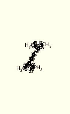 C=C(C)C(=O)Oc1ccc(/C=C/c2ccc(-c3ccc(-c4ccc(OC(=O)C(=C)C)c(OC(=O)C(=C)C)c4)cc3)cc2)cc1OC(=O)C(=C)C